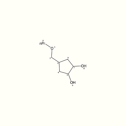 CCCOCC1CC(O)C(O)C1